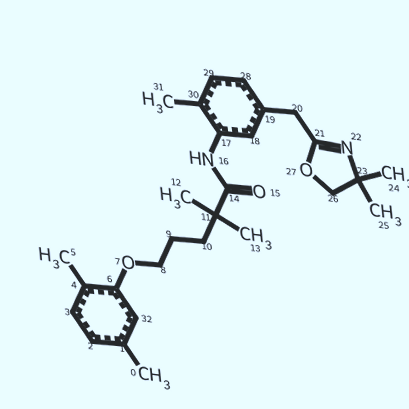 Cc1ccc(C)c(OCCCC(C)(C)C(=O)Nc2cc(CC3=NC(C)(C)CO3)ccc2C)c1